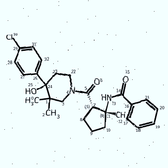 CC1(C)CN(C(=O)[C@H]2CCC[C@@]2(C)NC(=O)c2ccccc2)CCC1(O)c1ccc(Cl)cc1